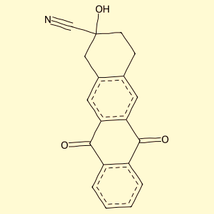 N#CC1(O)CCc2cc3c(cc2C1)C(=O)c1ccccc1C3=O